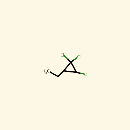 CCC1C(Cl)C1(Cl)Cl